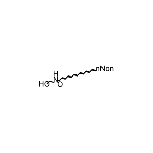 CCCCCCCCCC=CC=CC=CC=CC=CC=CC(=O)NCCO